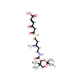 CC1(C)OCC(C)(C)[C@H](C(=O)NCCC(N)CCSC(=O)CC(=O)/C=C/C(=O)O)O1